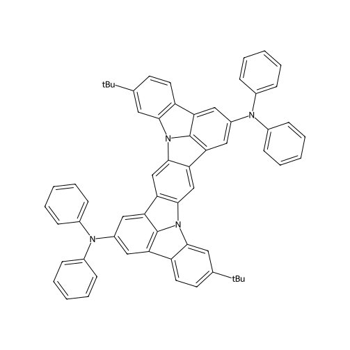 CC(C)(C)c1ccc2c3cc(N(c4ccccc4)c4ccccc4)cc4c5cc6c(cc5n(c2c1)c34)c1cc(N(c2ccccc2)c2ccccc2)cc2c3ccc(C(C)(C)C)cc3n6c21